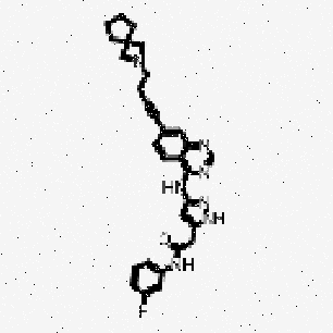 O=C(Cc1cc(Nc2ncnc3cc(C#CCCN4CC5(CCCC5)C4)ccc23)n[nH]1)Nc1cccc(F)c1